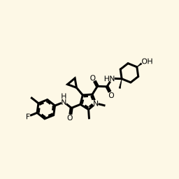 Cc1cc(NC(=O)c2c(C3CC3)c(C(=O)C(=O)N[C@]3(C)CC[C@@H](O)CC3)n(C)c2C)ccc1F